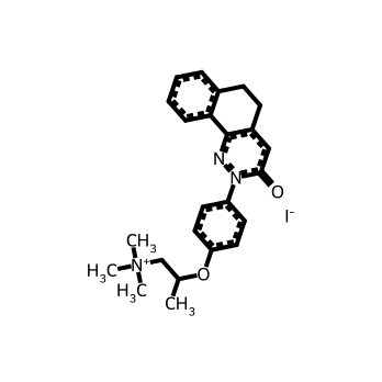 CC(C[N+](C)(C)C)Oc1ccc(-n2nc3c(cc2=O)CCc2ccccc2-3)cc1.[I-]